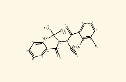 Cc1c(Br)cccc1C(=O)N(C#N)N(C(=O)c1ccccc1)C(C)(C)C